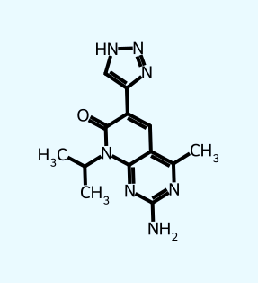 Cc1nc(N)nc2c1cc(-c1c[nH]nn1)c(=O)n2C(C)C